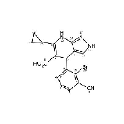 N#Cc1cccc(C2C(C(=O)O)=C(C3CC3)Nc3n[nH]cc32)c1Br